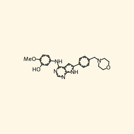 COc1ccc(Nc2ncnc3[nH]c(-c4ccc(CN5CCOCC5)cc4)cc23)cc1O